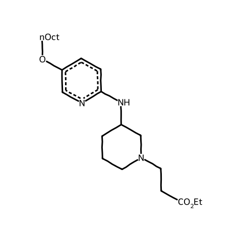 CCCCCCCCOc1ccc(NC2CCCN(CCC(=O)OCC)C2)nc1